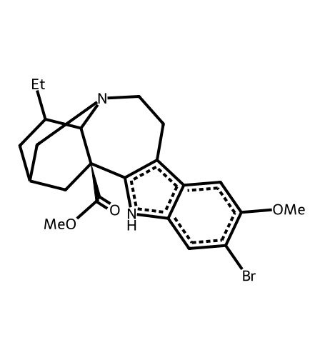 CCC1CC2CN3CCc4c([nH]c5cc(Br)c(OC)cc45)[C@](C(=O)OC)(C2)C13